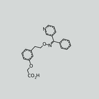 O=C(O)COc1cccc(CCON=C(c2ccccc2)c2cccnc2)c1